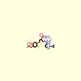 CC(O)Cc1ccc(-c2cc(C(N)=O)c(Nc3ccnc(C4CC4)n3)s2)c(F)c1